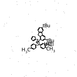 Cc1ccc([Si](c2ccc(C)cc2)=[Zr]([C]2=CC=CC2)[c]2cc(C(C)(C)C)cc3c2Cc2ccc(C(C)(C)C)cc2-3)cc1.Cl.Cl